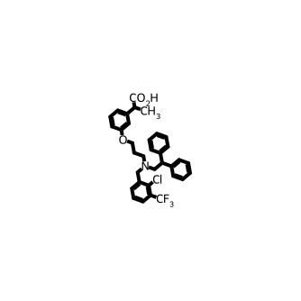 CC(C(=O)O)c1cccc(OCCCN(Cc2cccc(C(F)(F)F)c2Cl)CC(c2ccccc2)c2ccccc2)c1